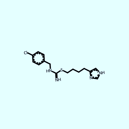 N=C(NCc1ccc(Cl)cc1)SCCCCc1c[nH]cn1